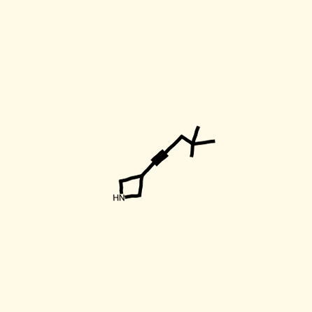 CC(C)(C)CC#CC1CNC1